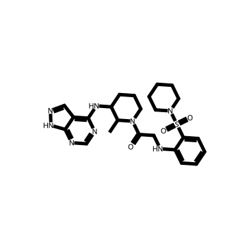 CC1C(Nc2ncnc3[nH]ncc23)CCCN1C(=O)CNc1ccccc1S(=O)(=O)N1CCCCC1